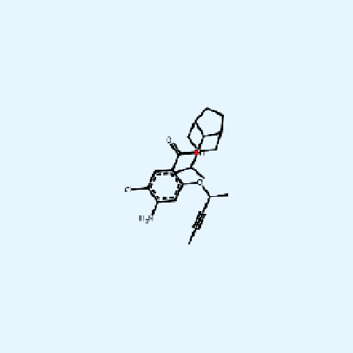 CC#C[C@H](C)Oc1cc(N)c(Cl)cc1C(=O)NC1C2CCC1CN(C(C)C)C2